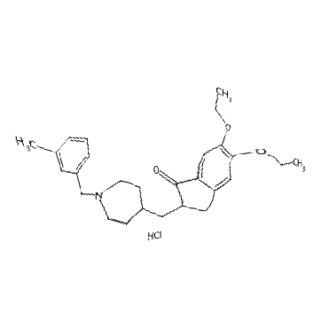 CCOc1cc2c(cc1OCC)C(=O)C(CC1CCN(Cc3cccc(C)c3)CC1)C2.Cl